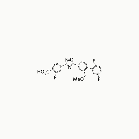 COCc1cc(-c2nc(-c3ccc(C(=O)O)c(F)c3)no2)ccc1-c1cc(F)ccc1F